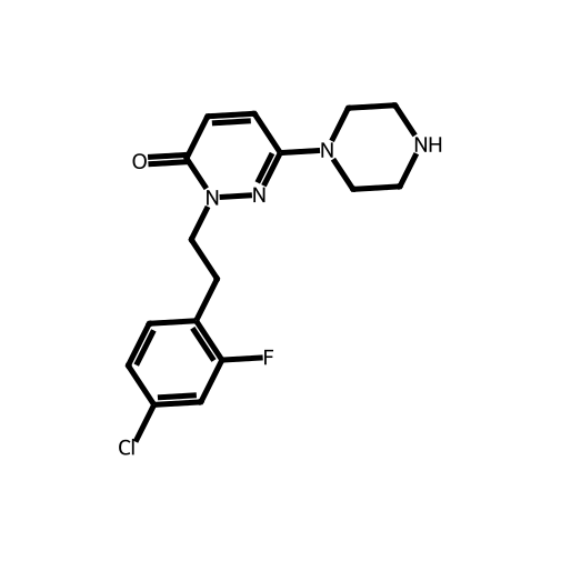 O=c1ccc(N2CCNCC2)nn1CCc1ccc(Cl)cc1F